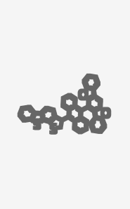 c1ccc2c(c1)oc1c(-c3c4ccccc4c(C4CSc5c4ccc4c5sc5ccccc54)c4ccccc34)c3c(cc12)oc1ccccc13